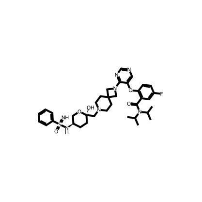 CC(C)N(C(=O)c1cc(F)ccc1Oc1cncnc1N1CC2(CCN(C[C@@]3(O)CC[C@@H](NS(=N)(=O)c4ccccc4)CO3)CC2)C1)C(C)C